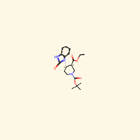 CCOC(=O)[C@H]1CN(C(=O)OC(C)(C)C)CC[C@@H]1n1c(=O)[nH]c2ccccc21